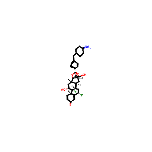 C[C@]12C=CC(=O)C=C1[C@@H](F)C[C@H]1[C@@H]3C[C@H]4O[C@@H](c5ccc(CC6CCC(N)CC6)cc5)O[C@@]4(C(=O)CO)[C@@]3(C)C[C@H](O)[C@@]12F